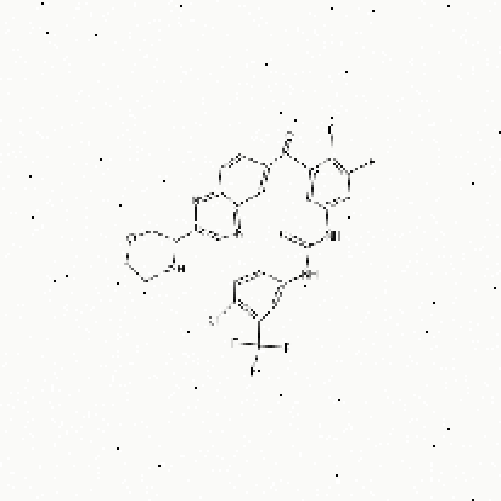 O=C(Nc1cc(F)c(F)c(C(=O)c2ccc3nc(C4COCCN4)cnc3c2)c1)Nc1ccc(Cl)c(C(F)(F)F)c1